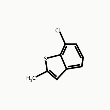 Cc1cc2cccc(Cl)c2s1